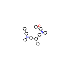 c1ccc(-c2ccc(N(c3ccccc3)c3ccc(-c4cc(-c5ccccc5)cc(-c5ccc(N(c6ccccc6)c6ccc7oc8ccccc8c7c6)cc5)c4)cc3)cc2)cc1